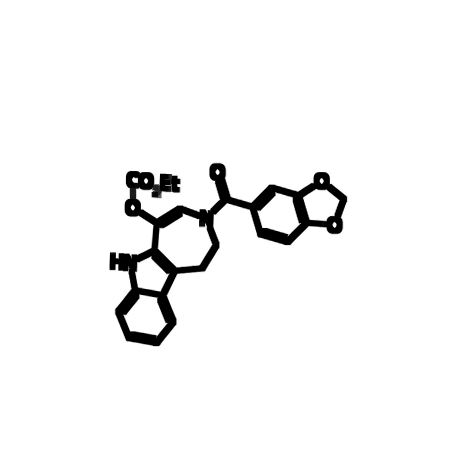 CCOC(=O)OC1=CN(C(=O)c2ccc3c(c2)OCO3)CCc2c1[nH]c1ccccc21